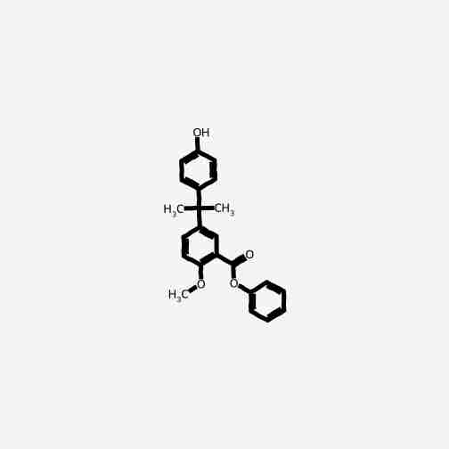 COc1ccc(C(C)(C)c2ccc(O)cc2)cc1C(=O)Oc1ccccc1